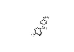 Nc1ccc(Nc2ccc(Cl)cc2)cc1